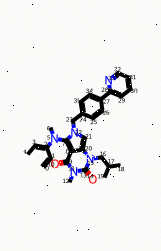 C=C/C(=C\C)N(C)c1c2c(=O)n(C)c(=O)n(CC(C)C)c2cn1Cc1ccc(-c2ccccn2)cc1